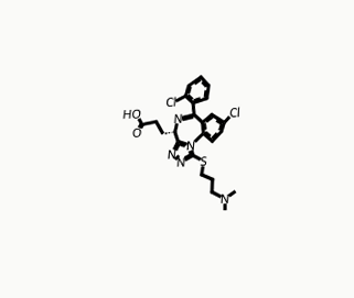 CN(C)CCCSc1nnc2n1-c1ccc(Cl)cc1C(c1ccccc1Cl)=N[C@H]2CCC(=O)O